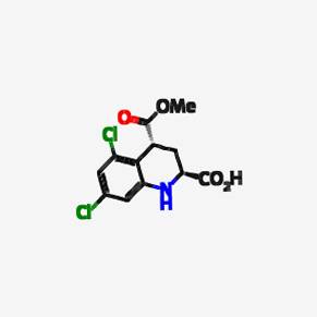 COC(=O)[C@@H]1C[C@@H](C(=O)O)Nc2cc(Cl)cc(Cl)c21